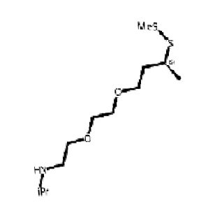 CSS[C@@H](C)CCOCCOCCNC(C)C